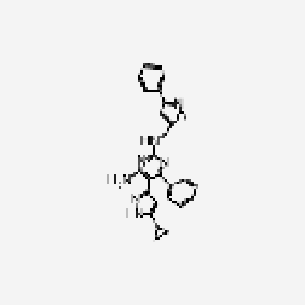 Nc1nc(NCc2cc(-c3ccccc3)no2)nc(-c2ccccc2)c1-c1cc(C2CC2)[nH]n1